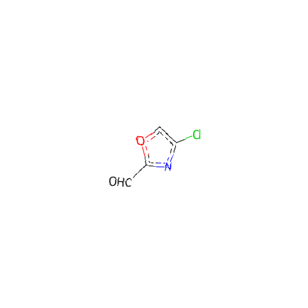 O=Cc1nc(Cl)co1